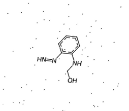 N=Nc1ccccc1NCO